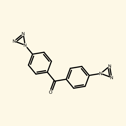 O=C(c1ccc(N2N=N2)cc1)c1ccc(N2N=N2)cc1